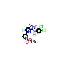 CC(C)(C)OC(=O)N1CCCC(c2nc3c(Nc4ccc(Cl)c(Cl)c4F)ncnc3cc2F)C1